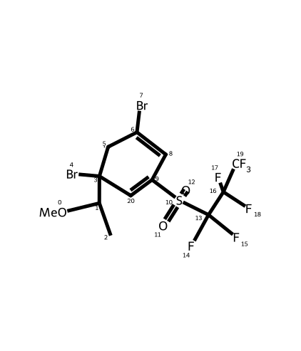 COC(C)C1(Br)[CH]C(Br)=CC(S(=O)(=O)C(F)(F)C(F)(F)C(F)(F)F)=C1